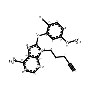 C#CCCCn1c(Sc2cc(OC(F)(F)F)ccc2I)nc2c(N)ncnc21